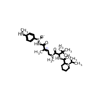 CNc1ccc([S+]([O-])NC(=O)/C(C)=C/CN(C)C(=O)C(NC(=O)C2CCCCN2C(C)C)C(C)(C)C)cc1